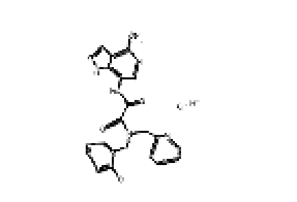 Nc1ncc(NC(=O)C(=O)N(Cc2ccccn2)Cc2ccccc2Cl)c2[nH]ncc12.[Cl-].[H+]